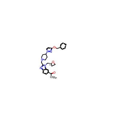 COC(=O)c1ccc2nc(CN3CCC(n4ccc(OCc5ccccc5)n4)CC3)n(C[C@@H]3CCO3)c2c1